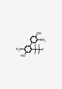 Nc1cc(-c2cc(N)c(O)cc2C(F)(F)C(F)(F)F)ccc1O